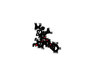 CC(C)Oc1cc(C(=O)NS(=O)(=O)C2(C)CC2)cc2sc(N3C4CCC3CC(NCc3c(-c5c(F)cccc5F)noc3C3CC3)C4)nc12